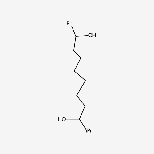 CC(C)C(O)CCCCCCC(O)C(C)C